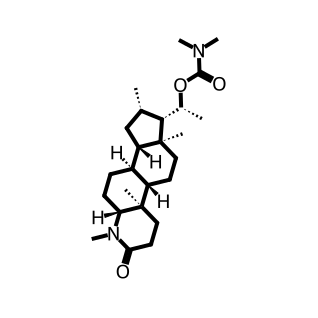 C[C@H]1C[C@H]2[C@@H]3CC[C@H]4N(C)C(=O)CC[C@]4(C)[C@H]3CC[C@]2(C)[C@H]1[C@@H](C)OC(=O)N(C)C